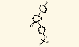 O=c1ccc(-c2ccc(F)cc2)nn1-c1ccc(OC(F)(F)F)cc1